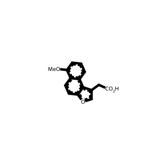 COc1cccc2c1ccc1occ(CC(=O)O)c12